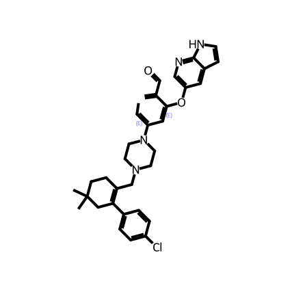 C=C(C=O)/C(=C\C(=C/C)N1CCN(CC2=C(c3ccc(Cl)cc3)CC(C)(C)CC2)CC1)Oc1cnc2[nH]ccc2c1